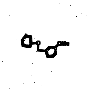 COc1cccc(COc2c[c]ccc2)c1